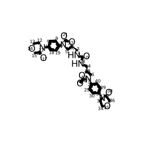 O=C(NC[C@H]1CN(c2ccc(N3CCOCC3=O)cc2)C(=O)O1)NC[C@H]1CN(c2ccc(N3CCOCC3=O)cc2)C(=O)O1